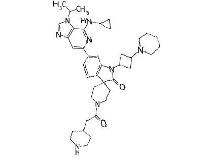 CC(C)n1cnc2cc(-c3ccc4c(c3)N(C3CC(N5CCCCC5)C3)C(=O)C43CCN(C(=O)CC4CCNCC4)CC3)nc(NC3CC3)c21